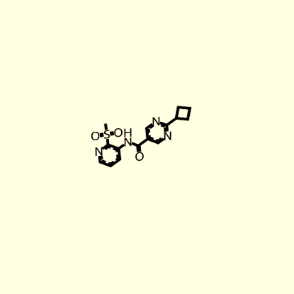 CS(=O)(=O)c1ncccc1NC(=O)c1cnc(C2CCC2)nc1